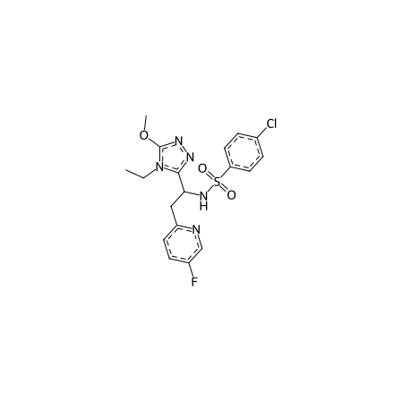 CCn1c(OC)nnc1C(Cc1ccc(F)cn1)NS(=O)(=O)c1ccc(Cl)cc1